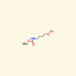 CC(C)(C)OC(=O)NCCCCOS